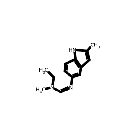 CCN(C)/C=N\c1ccc2[nH]c(C)cc2c1